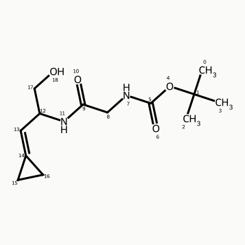 CC(C)(C)OC(=O)NCC(=O)NC(C=C1CC1)CO